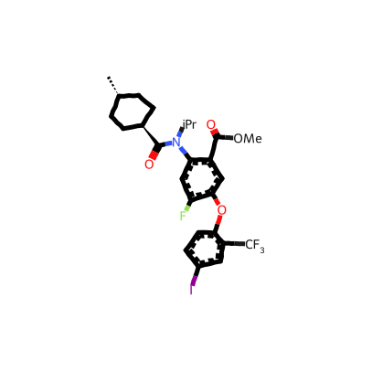 COC(=O)c1cc(Oc2ccc(I)cc2C(F)(F)F)c(F)cc1N(C(=O)[C@H]1CC[C@H](C)CC1)C(C)C